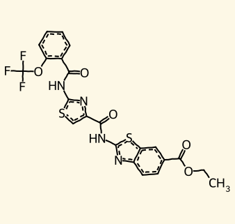 CCOC(=O)c1ccc2nc(NC(=O)c3csc(NC(=O)c4ccccc4OC(F)(F)F)n3)sc2c1